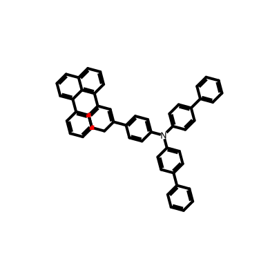 C1=C(c2ccc(N(c3ccc(-c4ccccc4)cc3)c3ccc(-c4ccccc4)cc3)cc2)CCC=C1c1cccc2cccc(-c3ccccc3)c12